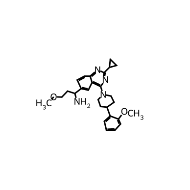 COCCC(N)c1ccc2nc(C3CC3)nc(N3CCC(c4ccccc4OC)CC3)c2c1